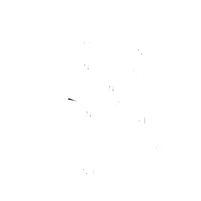 CC[C@@H](c1nc2snc(C)c2c(=O)n1Cc1ccccc1)N(CCCN)C(=O)c1cccc(Cl)c1Cl